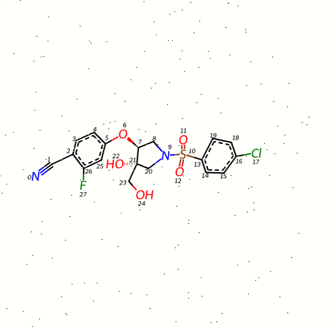 N#Cc1ccc(O[C@H]2CN(S(=O)(=O)c3ccc(Cl)cc3)C[C@@]2(O)CO)cc1F